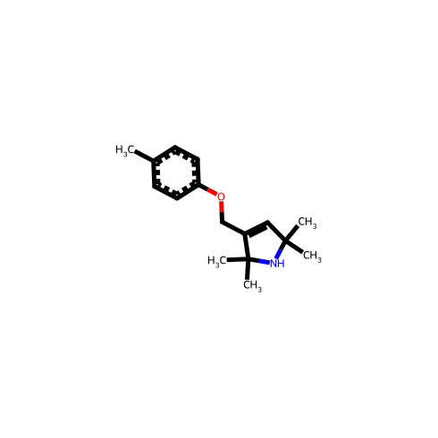 Cc1ccc(OCC2=CC(C)(C)NC2(C)C)cc1